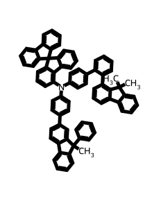 CC1(C)c2ccccc2-c2cccc(-c3ccccc3-c3ccc(N(c4ccc(-c5ccc6c(c5)C(C)(c5ccccc5)c5ccccc5-6)cc4)c4cccc5c4-c4ccccc4C54c5ccccc5-c5ccccc54)cc3)c21